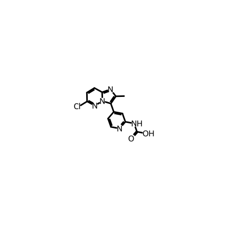 Cc1nc2ccc(Cl)nn2c1-c1ccnc(NC(=O)O)c1